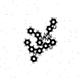 c1ccc(-c2ccc3c(c2)c2cc(-c4ccc5c(c4)oc4cccc(-c6nc(-c7ccc8c(c7)oc7ccccc78)nc(-n7c8ccccc8c8cc(-c9ccccc9)ccc87)n6)c45)ccc2n3-c2ccccc2)cc1